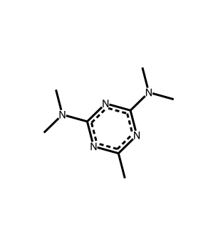 Cc1nc(N(C)C)nc(N(C)C)n1